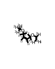 [2H]C([2H])C([2H])OC(C)(C)/C(C)=C(/C)C(C)(C)OC([2H])([2H])[2H]